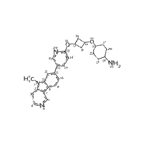 Cn1c2ccncc2c2ccc(-c3ccc(OC4CC(OC5CCC(N)CC5)C4)nc3)cc21